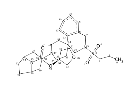 CCCS(=O)(=O)N1Cc2ccccc2C2(CCN(C3CC4CCC(C3)N4C(=O)O[C@H]3CCOC3)CC2)C1